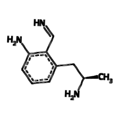 C[C@@H](N)Cc1cccc(N)c1C=N